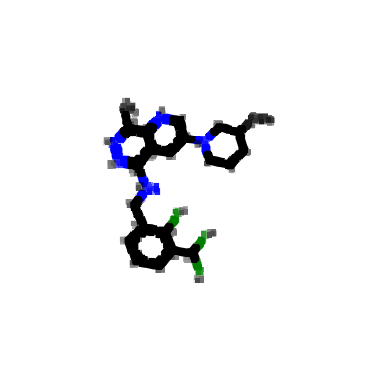 COC1CCCN(c2cnc3c(C)nnc(NCc4cccc(C(F)F)c4F)c3c2)C1